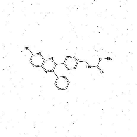 CC(C)(C)OC(=O)NCc1ccc(-c2nc3nc(C#N)ccc3nc2-c2ccccc2)cc1